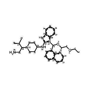 CCOCCOC(c1cccc2cccnc12)n1c(NC2CCN(C(CN)C(C)C)CC2)nc2ccccc21